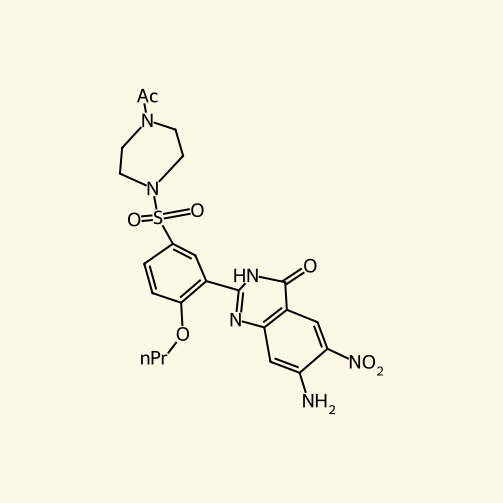 CCCOc1ccc(S(=O)(=O)N2CCN(C(C)=O)CC2)cc1-c1nc2cc(N)c([N+](=O)[O-])cc2c(=O)[nH]1